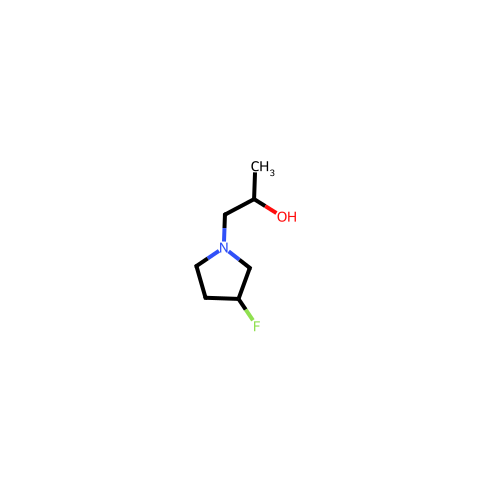 CC(O)CN1CCC(F)C1